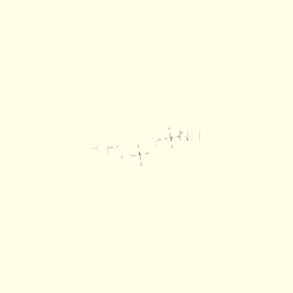 CC(C)(C)COC(C)(C)OCC(C)(C)N